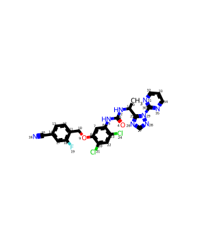 CC(NC(=O)Nc1cc(OCc2ccc(C#N)cc2F)c(Cl)cc1Cl)c1ncnn1-c1ncccn1